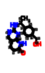 C[C@H](Nc1ncc2ccc(=O)[nH]c2n1)c1ccc(CO)cc1